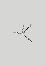 CCCCCCCCCC[P+](CCCCCCCC)(CCCCCCCC)CCCCCCCC.[I-]